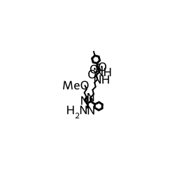 COCCc1nc2c(N)nc3ccccc3c2n1CCCCNC(=O)NS(=O)(=O)c1ccc(C)cc1